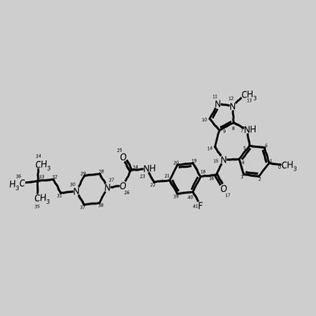 Cc1ccc2c(c1)Nc1c(cnn1C)CN2C(=O)c1ccc(CNC(=O)ON2CCN(CCC(C)(C)C)CC2)cc1F